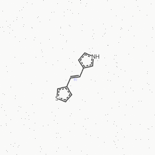 C(=C\c1ccsc1)/c1cc[nH]c1